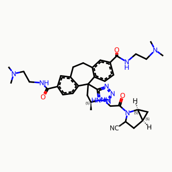 C[C@@H](CC1(c2nnn[nH]2)c2ccc(C(=O)NCCN(C)C)cc2CCc2cc(C(=O)NCCN(C)C)ccc21)NCC(=O)N1C(C#N)C[C@@H]2C[C@@H]21